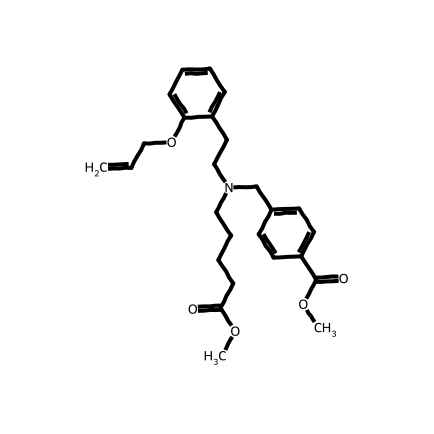 C=CCOc1ccccc1CCN(CCCCC(=O)OC)Cc1ccc(C(=O)OC)cc1